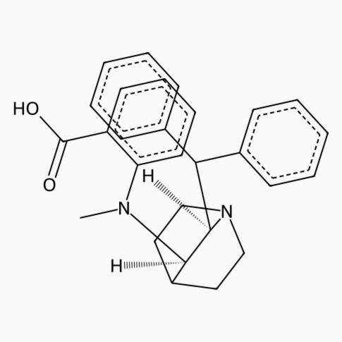 CN(c1ccccc1C(=O)O)[C@@H]1C2CCN(CC2)[C@@H]1C(c1ccccc1)c1ccccc1